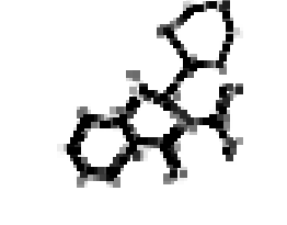 O=c1c([N+](=O)[O-])c(N2CCOCC2)oc2ccccc12